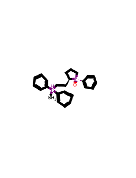 B[PH](CC[C@H]1CCC[P@]1(=O)c1ccccc1)(c1ccccc1)c1ccccc1